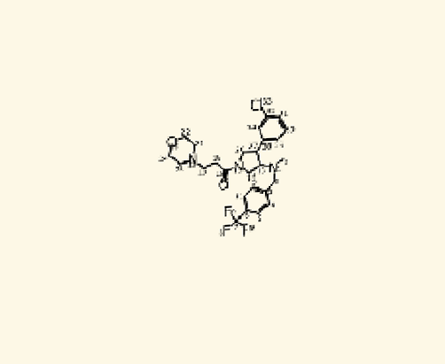 CN(Cc1ccc(C(F)(F)F)cc1)C1CN(C(=O)CCN2CCOCC2)CC1c1cccc(Cl)c1